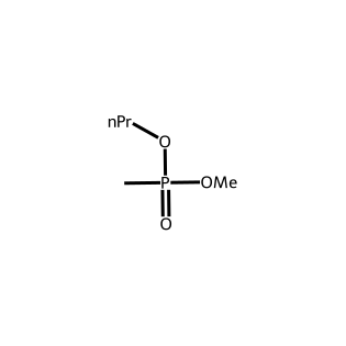 CCCOP(C)(=O)OC